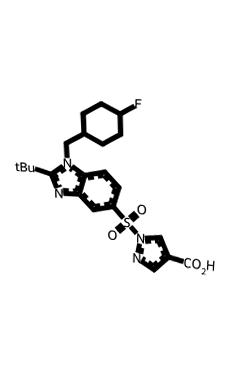 CC(C)(C)c1nc2cc(S(=O)(=O)n3cc(C(=O)O)cn3)ccc2n1CC1CCC(F)CC1